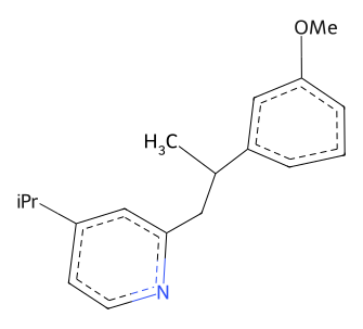 COc1cccc(C(C)Cc2cc(C(C)C)ccn2)c1